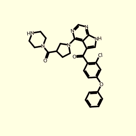 O=C(c1ccc(Oc2ccccc2)cc1Cl)c1c[nH]c2ncnc(N3CCC(C(=O)N4CCNCC4)C3)c12